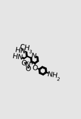 CN/C=C(\C=N)c1nccc(Oc2ccc(N)cc2)c1[N+](=O)[O-]